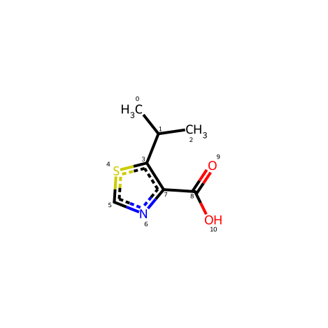 CC(C)c1scnc1C(=O)O